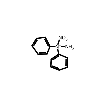 N[N+](c1ccccc1)(c1ccccc1)[N+](=O)[O-]